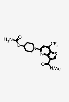 CNC(=O)c1csc2c(C(F)(F)F)cc(N3CCC(OC(N)=O)CC3)nc12